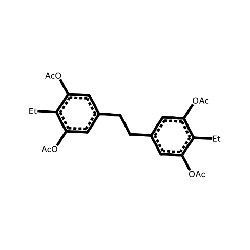 CCc1c(OC(C)=O)cc(CCc2cc(OC(C)=O)c(CC)c(OC(C)=O)c2)cc1OC(C)=O